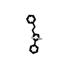 c1ccc(CCc2c[nH]c(-c3ccccc3)n2)cc1